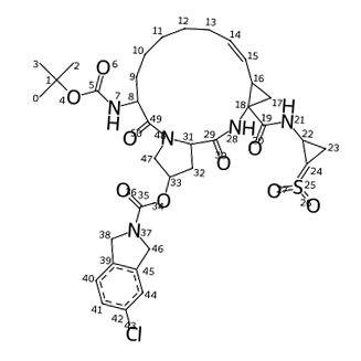 CC(C)(C)OC(=O)NC1CCCCCC=CC2CC2(C(=O)NC2CC2=S(=O)=O)NC(=O)C2CC(OC(=O)N3Cc4ccc(Cl)cc4C3)CN2C1=O